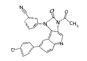 CC(=O)n1c(=O)n(-c2cccc(C#N)c2)c2c3cc(-c4ccc(Cl)cc4)ccc3ncc21